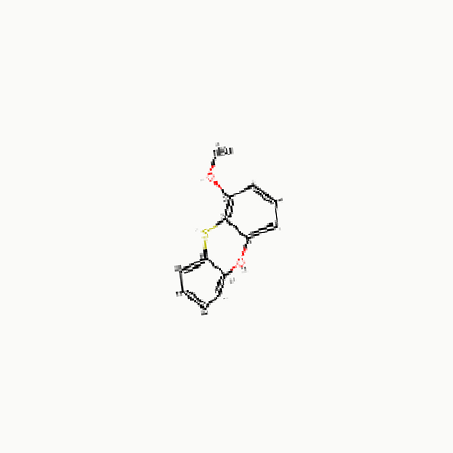 CCCCOc1cccc2c1Sc1ccccc1O2